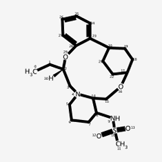 CC[C@H]1CN2CCCC(NS(C)(=O)=O)C2COC2CCC(CC2)c2ccccc2O1